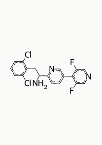 NC(Cc1c(Cl)cccc1Cl)c1ccc(-c2c(F)cncc2F)cn1